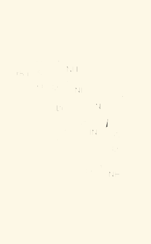 C=CCNC(=O)C(=O)C(CC1CC1)NC(=O)[C@@H]1CC(C)(C)C(C)CN1C(=O)[C@@H](NC(=O)NC1(CS(=O)(=O)C(C)(C)C)CCCCC1)C(C)(C)C